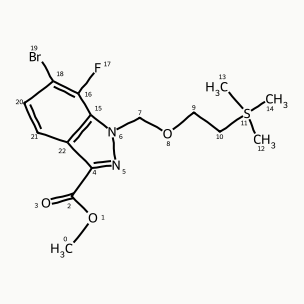 COC(=O)c1nn(COCCS(C)(C)C)c2c(F)c(Br)ccc12